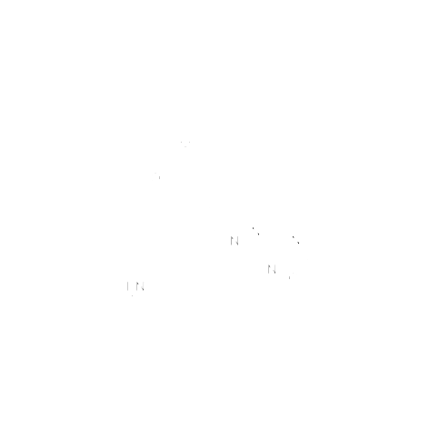 COc1cc2c(cc1OC)C(c1ccc(N)c(C)c1)=NN(c1ncon1)[C@@H](C)C2